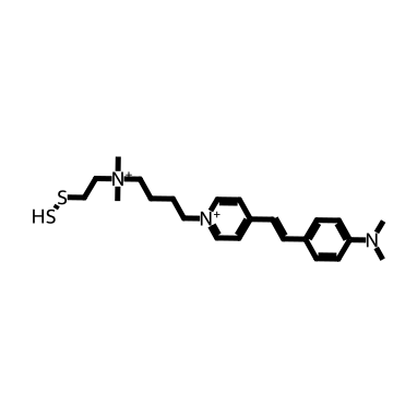 CN(C)c1ccc(/C=C/c2cc[n+](CCCC[N+](C)(C)CCSS)cc2)cc1